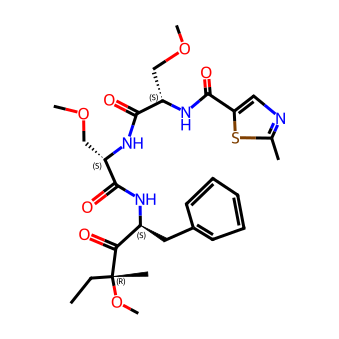 CC[C@@](C)(OC)C(=O)[C@H](Cc1ccccc1)NC(=O)[C@H](COC)NC(=O)[C@H](COC)NC(=O)c1cnc(C)s1